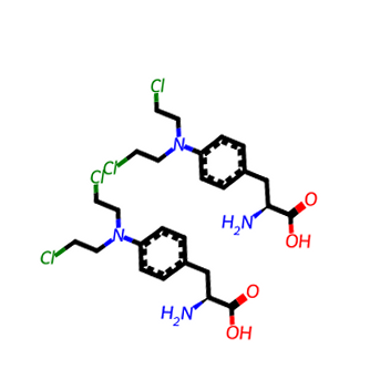 N[C@@H](Cc1ccc(N(CCCl)CCCl)cc1)C(=O)O.N[C@@H](Cc1ccc(N(CCCl)CCCl)cc1)C(=O)O